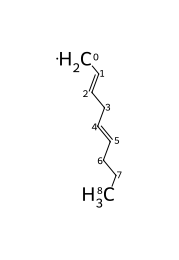 [CH2]C=CCC=CCCC